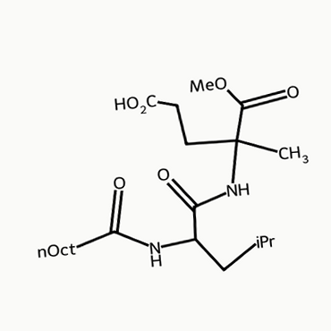 CCCCCCCCC(=O)NC(CC(C)C)C(=O)NC(C)(CCC(=O)O)C(=O)OC